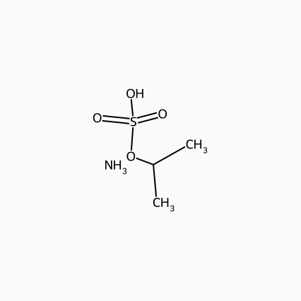 CC(C)OS(=O)(=O)O.N